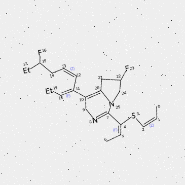 C/C=C\S/C(=C/C)C1=NCC(C(/C=C\CC(F)CC)=C/CC)=C2CC(F)CN12